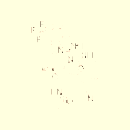 C=C/C(C#N)=C\C=C(/CCN[S+](C)[O-])[C@@H]1C(C(=O)OC)=C(C)N(c2cccc(C(F)(F)F)c2)C(=N)N1C(N)=O